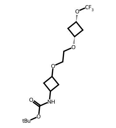 CC(C)(C)OC(=O)NC1CC(OCCO[C@H]2C[C@@H](OC(F)(F)F)C2)C1